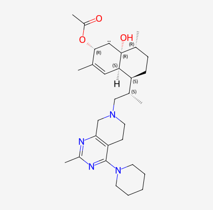 CC(=O)O[C@@H]1[C][C@@]2(O)[C@H](C)CC[C@@H]([C@H](C)CN3CCc4c(nc(C)nc4N4CCCCC4)C3)[C@H]2C=C1C